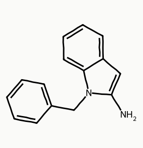 Nc1cc2ccccc2n1Cc1ccccc1